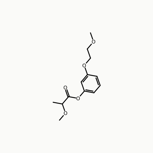 COCCOc1cccc(OC(=O)C(C)OC)c1